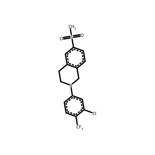 CS(=O)(=O)c1ccc2c(c1)CCN(c1ccc(C(F)(F)F)c(Cl)c1)C2